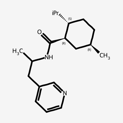 CC(Cc1cccnc1)NC(=O)[C@@H]1C[C@H](C)CC[C@H]1C(C)C